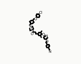 Cc1cc(C=CC(=O)N2CCN(Cc3ccc(COc4ccc(Cl)cc4)cc3)CC2)cc(C)c1Oc1ccc(OCc2ccc(C#N)cc2)cn1